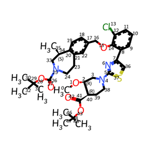 CO[C@H]1CN(c2nc(-c3cccc(Cl)c3OCc3ccc4c(c3)CCN(C(=O)OC(C)(C)C)C[C@H]4C)cs2)CC[C@H]1C(=O)OC(C)(C)C